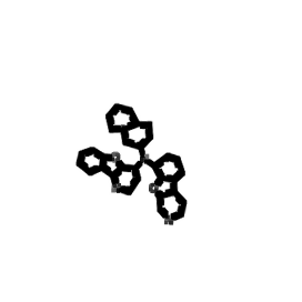 c1ccc2cc(N(c3cccc4c3oc3cnccc34)c3ccnc4c3oc3ccccc34)ccc2c1